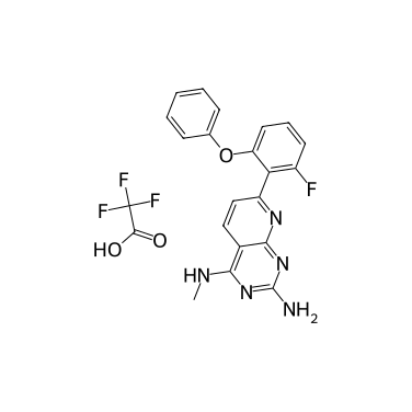 CNc1nc(N)nc2nc(-c3c(F)cccc3Oc3ccccc3)ccc12.O=C(O)C(F)(F)F